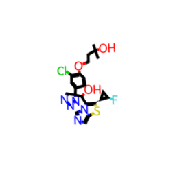 CC(C)(O)CCOc1ccc(C2(C(O)c3c([C@@H]4C[C@H]4F)sc4cncn34)C=NN=N2)cc1Cl